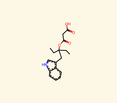 CCC(CC)(Cc1c[nH]c2ccccc12)OC(=O)CC(=O)O